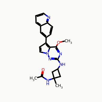 COc1nc(NC2CC(C)(NC(C)=O)C2)nn2ccc(-c3ccc4ncccc4c3)c12